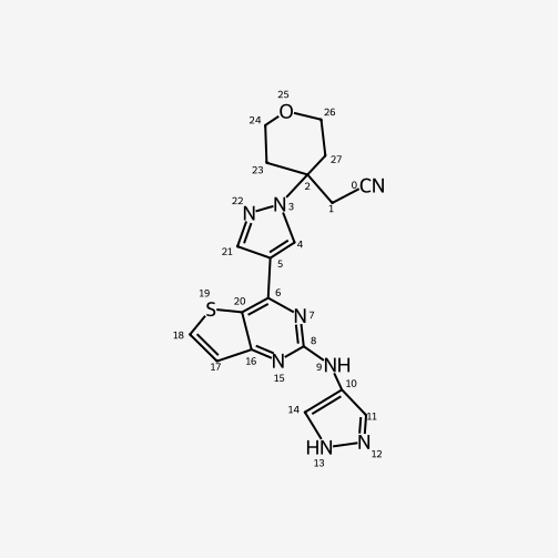 N#CCC1(n2cc(-c3nc(Nc4cn[nH]c4)nc4ccsc34)cn2)CCOCC1